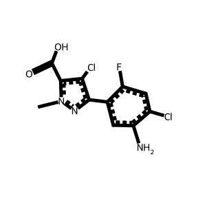 Cn1nc(-c2cc(N)c(Cl)cc2F)c(Cl)c1C(=O)O